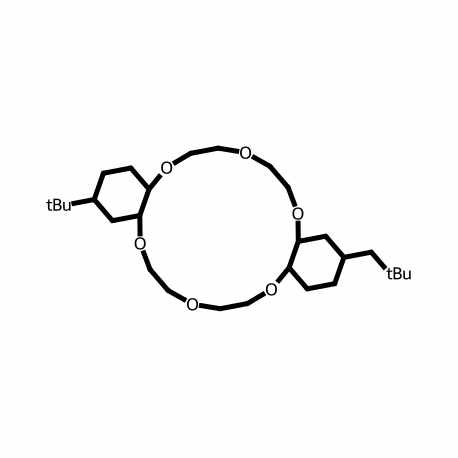 CC(C)(C)CC1CCC2OCCOCCOC3CC(C(C)(C)C)CCC3OCCOCCOC2C1